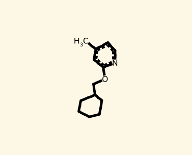 Cc1ccnc(OCC2CCCCC2)c1